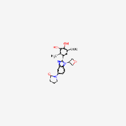 COc1cc(-c2nc3cc(N4CCCC4=O)ccc3n2C2COC2)c(C)c(O)c1O